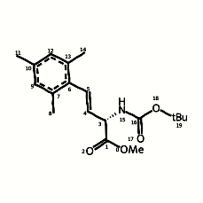 COC(=O)[C@H](C=Cc1c(C)cc(C)cc1C)NC(=O)OC(C)(C)C